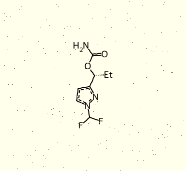 CC[C@@H](OC(N)=O)c1ccn(C(F)F)n1